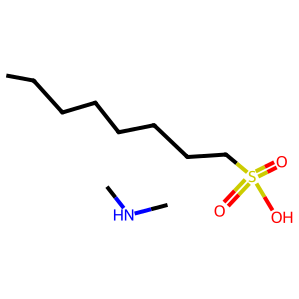 CCCCCCCCS(=O)(=O)O.CNC